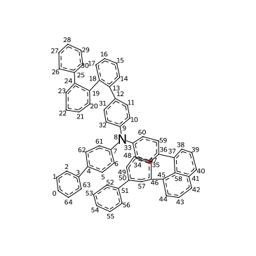 c1ccc(-c2ccc(N(c3ccc(-c4ccccc4-c4ccccc4-c4ccccc4)cc3)c3ccc(-c4cccc5cccc(-c6cccc(-c7ccccc7)c6)c45)cc3)cc2)cc1